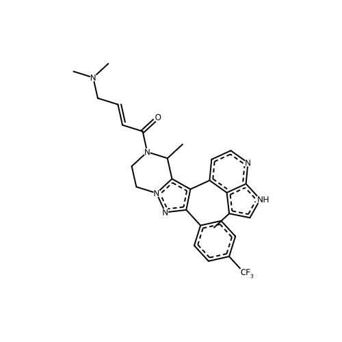 Cc1c[nH]c2nccc(-c3c(-c4ccc(C(F)(F)F)cc4)nn4c3C(C)N(C(=O)C=CCN(C)C)CC4)c12